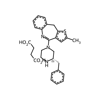 Cc1cc2c(s1)Cc1ccccc1N=C2N1CCN[C@@H](Cc2ccccc2)C1.O=C(O)CCC(=O)O